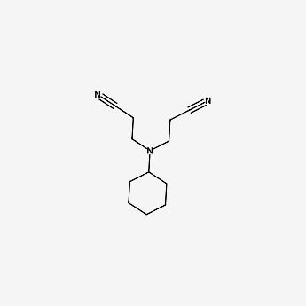 N#CCCN(CCC#N)C1CCCCC1